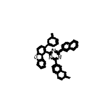 CC1C=CC=C(C2=C(c3nc(-c4ccc5c(c4)CC(C)C=C5)nc(-c4ccc5ccccc5c4)n3)C3c4ccccc4OC3C=C2)C1